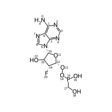 Nc1ncnc2c1ncn2[C@@H]1O[C@H](OOP(O)CO)[C@H](F)C1O